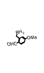 BCc1cc(OC)ccc1C=O